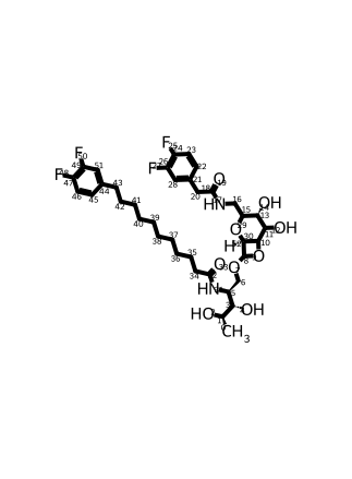 C[C@@H](O)[C@@H](O)[C@H](COC1OC2C(O)[C@@H](O)C(CNC(=O)Cc3ccc(F)c(F)c3)O[C@H]12)NC(=O)CCCCCCCCCCc1ccc(F)c(F)c1